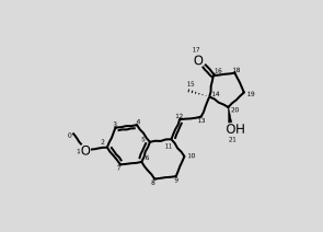 COc1ccc2c(c1)CCCC2=CC[C@@]1(C)C(=O)CC[C@H]1O